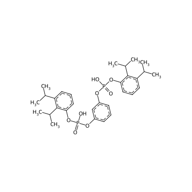 CC(C)c1cccc(OP(=O)(O)Oc2cccc(OP(=O)(O)Oc3cccc(C(C)C)c3C(C)C)c2)c1C(C)C